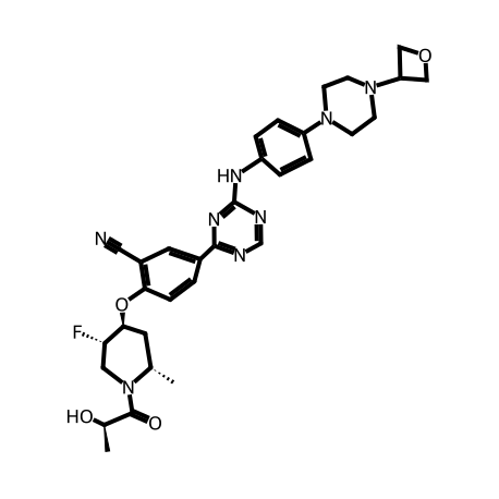 C[C@@H](O)C(=O)N1C[C@H](F)[C@@H](Oc2ccc(-c3ncnc(Nc4ccc(N5CCN(C6COC6)CC5)cc4)n3)cc2C#N)C[C@@H]1C